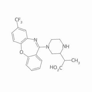 CC(C(=O)O)C1CN(C2=Nc3cc(C(F)(F)F)ccc3Oc3ccccc32)CCN1